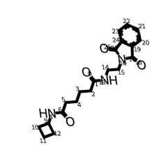 O=C(CCCCC(=O)NC1CCC1)NCCN1C(=O)c2ccccc2C1=O